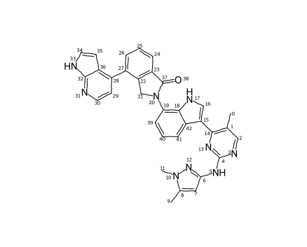 Cc1cnc(Nc2cc(C)n(C)n2)nc1-c1c[nH]c2c(N3Cc4c(cccc4-c4ccnc5[nH]ccc45)C3=O)cccc12